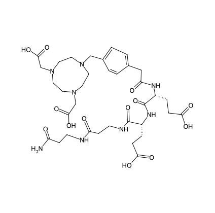 NC(=O)CCNC(=O)CCNC(=O)[C@@H](CCC(=O)O)NC(=O)[C@@H](CCC(=O)O)NC(=O)Cc1ccc(CN2CCN(CC(=O)O)CCN(CC(=O)O)CC2)cc1